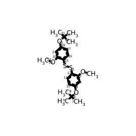 COc1cc(OC(C)(C)C)ccc1SSc1ccc(OC(C)(C)C)cc1OC